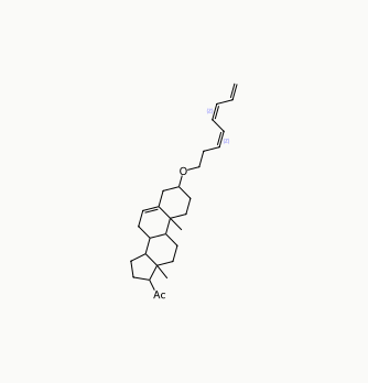 C=C/C=C\C=C/CCOC1CCC2(C)C(=CCC3C2CCC2(C)C(C(C)=O)CCC32)C1